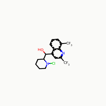 OC(c1cc(C(F)(F)F)nc2c(C(F)(F)F)cccc12)C1CCCCN1Cl